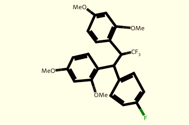 COc1ccc(C(c2ccc(F)cc2)C(c2ccc(OC)cc2OC)C(F)(F)F)c(OC)c1